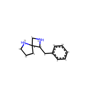 c1ccc(CC2NCC23CCCN3)cc1